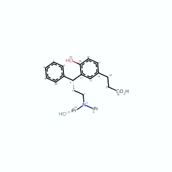 CC(C)N(CC[C@H](c1ccccc1)c1cc(CCC(=O)O)ccc1O)C(C)C.Cl